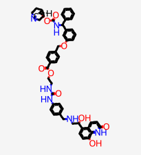 O=C(NCCOC(=O)c1ccc(COc2cccc(C(NC(=O)O[C@H]3CN4CCC3CC4)c3ccccc3)c2)cc1)Nc1ccc(CNCC(O)c2ccc(O)c3[nH]c(=O)ccc23)cc1